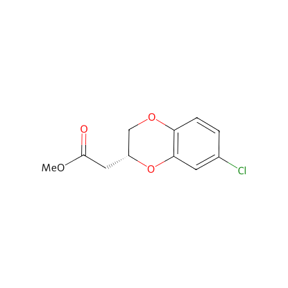 COC(=O)C[C@@H]1COc2ccc(Cl)cc2O1